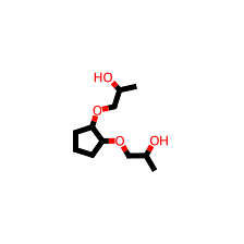 CC(O)COC1CCCC1OCC(C)O